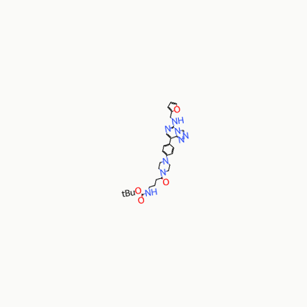 CC(C)(C)OC(=O)NCCCC(=O)N1CCN(c2ccc(-c3cnc(NCc4ccco4)n4cnnc34)cc2)CC1